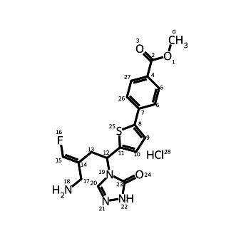 COC(=O)c1ccc(-c2ccc(C(C/C(=C\F)CN)n3cn[nH]c3=O)s2)cc1.Cl